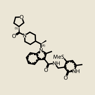 CSc1cc(C)[nH]c(=O)c1CNC(=O)c1c(C)n([C@H](C)C2CCN(C(=O)[C@H]3CCOC3)CC2)c2ccccc12